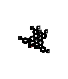 CN(C)CC1c2[nH]c3ccc(Cl)cc3c2CC(c2ccc(Cl)c(Cl)c2)N1C(=O)N1C(c2ccc(Cl)c(Cl)c2)Cc2c([nH]c3ccc(Cl)cc23)C1CN(C)C